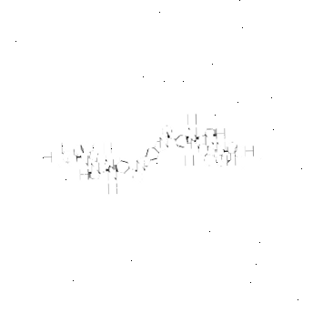 COC(=O)NC(C(=O)N1CCCC1c1nc2ccc(C(=O)N3Cc4cc5c(cc4C3)CN(C(=O)c3ccc4nc(C6CCCN6C(=O)C(NC(=O)OC)C(C)C)[nH]c4c3)C5)cc2[nH]1)C(C)C